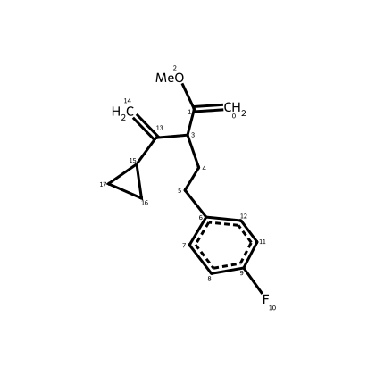 C=C(OC)C(CCc1ccc(F)cc1)C(=C)C1CC1